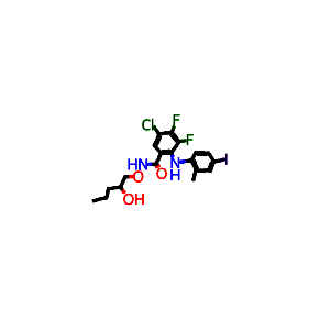 CCCC(O)CONC(=O)c1cc(Cl)c(F)c(F)c1Nc1ccc(I)cc1C